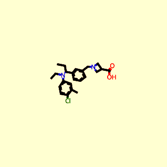 CCC(c1cccc(CN2CC(C(=O)O)C2)c1)N(CC)c1ccc(Cl)c(C)c1